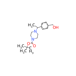 CC(c1ccc(CO)cc1)N1CCN(C(=O)OC(C)(C)C)CC1